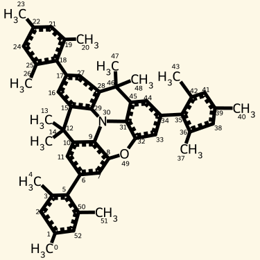 Cc1cc(C)c(-c2cc3c4c(c2)C(C)(C)c2cc(-c5c(C)cc(C)cc5C)cc5c2N4c2c(cc(-c4c(C)cc(C)cc4C)cc2C5(C)C)O3)c(C)c1